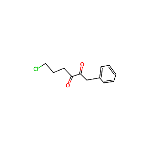 O=C(CCCCl)C(=O)Cc1ccccc1